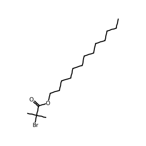 CCCCCCCCCCCCCOC(=O)C(C)(C)Br